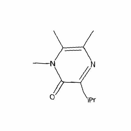 Cc1nc(C(C)C)c(=O)n(C)c1C